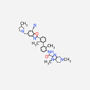 Cc1c(NC(=O)c2nc3c(n2C)CCN(C)C3)cccc1-c1cccc(-c2nc3cc(CN4CC[C@@H](C)C4)cc(C#N)c3o2)c1C